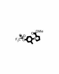 COC(=O)C1CCCN1C1CC=C(OS(=O)(=O)C(F)(F)F)CC1C